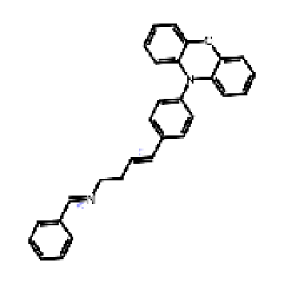 C(=C\c1ccc(N2c3ccccc3Oc3ccccc32)cc1)/CC/N=C/c1ccccc1